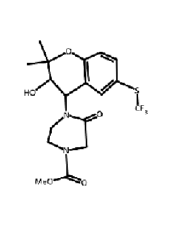 COC(=O)N1CCN(C2c3cc(SC(F)(F)F)ccc3OC(C)(C)C2O)C(=O)C1